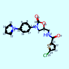 O=C(NCC1CN(c2ccc(-n3cccc3)cc2)C(=O)O1)c1ccc(Cl)s1